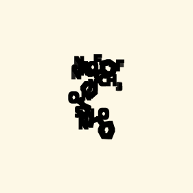 C[C@@H](N1CCN(C(=O)c2cn3c(C(=O)c4ccccc4)cnc3s2)CC1)[C@](O)(Cn1cncn1)c1ccc(F)cc1F